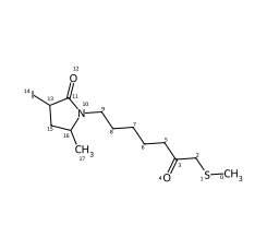 CSCC(=O)CCCCCN1C(=O)C(I)CC1C